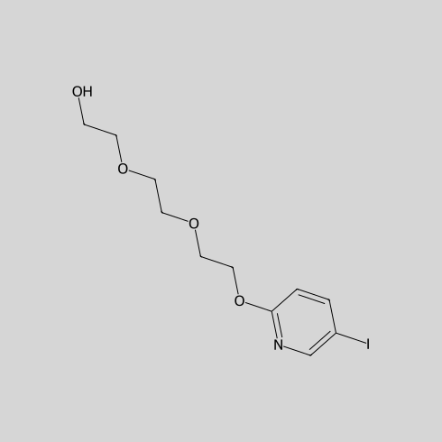 OCCOCCOCCOc1ccc(I)cn1